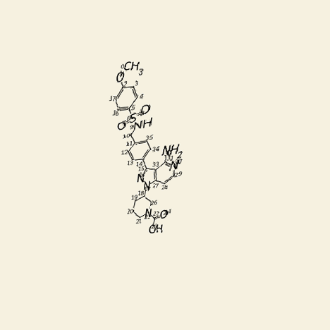 COc1ccc(S(=O)(=O)NCc2ccc(-c3nn([C@@H]4CCCN(C(=O)O)C4)c4ccnc(N)c34)cc2)cc1